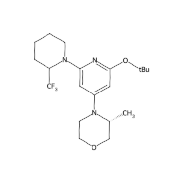 C[C@@H]1COCCN1c1cc(OC(C)(C)C)nc(N2CCCCC2C(F)(F)F)c1